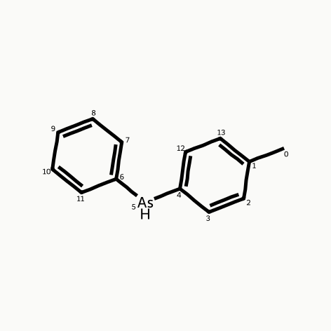 Cc1ccc([AsH]c2ccccc2)cc1